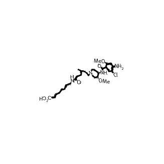 COc1cc(N)c(Cl)cc1C(=O)N[C@@H]1CCN(CCC(C)CCC(=O)NCCCCCCCC(=O)O)C[C@@H]1OC